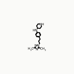 Cc1nc(C)n(CCCc2ccc(NC3CCNCC3)cc2)n1